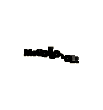 CCc1ccc(CCc2ccc3c(F)c(-c4ccc(OC)cc4)ccc3c2)cc1